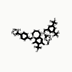 Cc1cc2c(c(C)c1C(F)(F)F)N(Cc1ccc(-c3nnn[nH]3)cc1)CCC[C@@H]2N(Cc1cc(C(F)(F)F)cc(C(F)(F)F)c1)c1nnn(C)n1